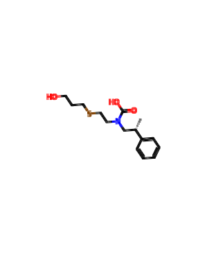 C[C@@H](CN(CCSCCCO)C(=O)O)c1ccccc1